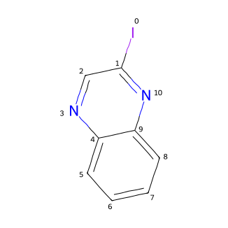 Ic1cnc2ccccc2n1